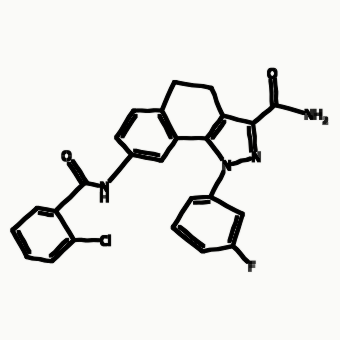 NC(=O)c1nn(-c2cccc(F)c2)c2c1CCc1ccc(NC(=O)c3ccccc3Cl)cc1-2